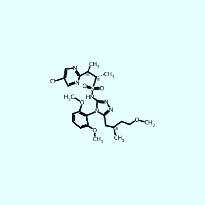 COCC[C@@H](C)Cc1nnc(NS(=O)(=O)[C@@H](C)[C@H](C)c2ncc(Cl)cn2)n1-c1c(OC)cccc1OC